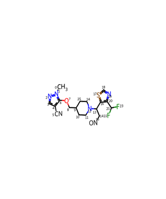 Cn1ncc(C#N)c1OCC1CCN(C(CN=O)c2scnc2C(F)F)CC1